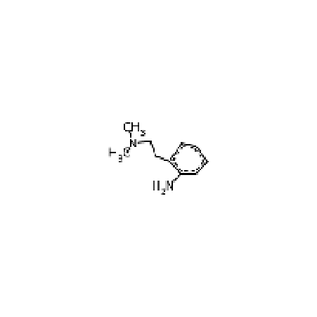 CN(C)CCc1ccccc1N